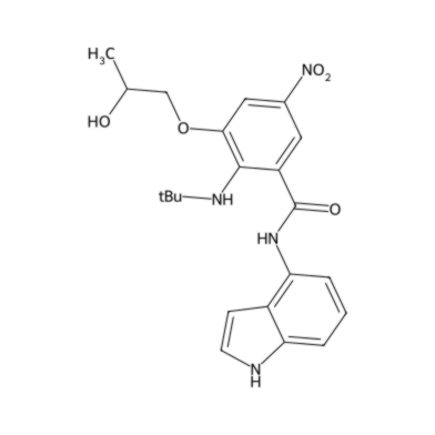 CC(O)COc1cc([N+](=O)[O-])cc(C(=O)Nc2cccc3[nH]ccc23)c1NC(C)(C)C